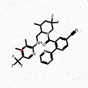 C\C=C(/C=N\C(NCC1C(C)CC(F)(F)CN1C(=O)c1cc(C#N)ccc1-c1ccccn1)=C(\C)CC)C(F)(F)F